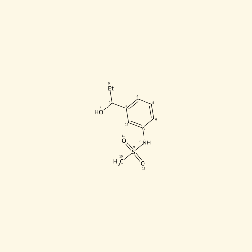 CCC(O)c1cccc(NS(C)(=O)=O)c1